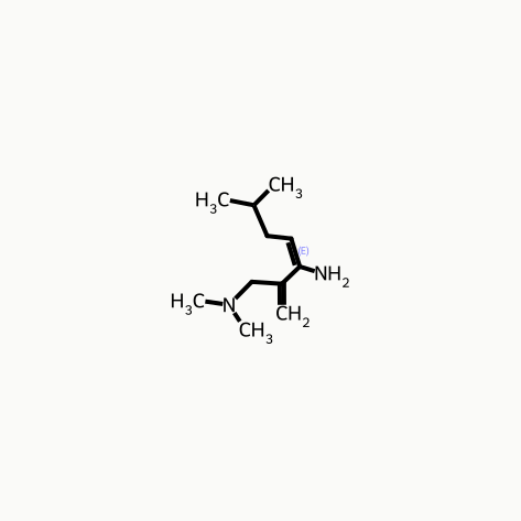 C=C(CN(C)C)/C(N)=C\CC(C)C